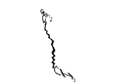 CCCCCCCCCCCCCCCCCO[PH2]=O